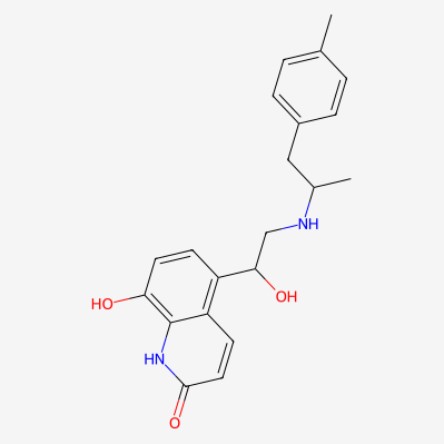 Cc1ccc(CC(C)NCC(O)c2ccc(O)c3[nH]c(=O)ccc23)cc1